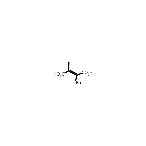 C/C(C(=O)O)=C(\C(=O)O)C(C)(C)C